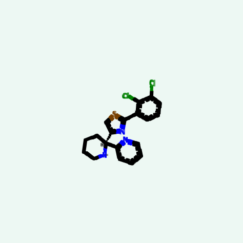 Clc1cccc(-c2nc([C@@]3(c4ccccn4)CCCC[N]3)cs2)c1Cl